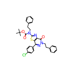 CC(C)(C)OC(=O)N(CCc1ccccc1)c1nc2c(=O)n(CCc3ccccc3)nc(-c3ccc(Cl)cc3)c2s1